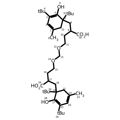 CC1=CC(C(C)(C)C)=C(O)C(CC(CCOCOCCC(CC2(C(C)(C)C)CC(C)=CC(C(C)(C)C)=C2O)C(=O)O)C(=O)O)(C(C)(C)C)C1